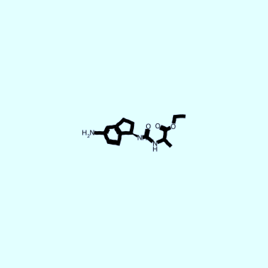 CCOC(=O)C(C)NC(=O)N[C@@H]1CCc2cc(N)ccc21